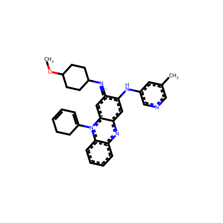 COC1CCC(/N=c2\cc3n(C4=CC=CCC4)c4ccccc4nc-3cc2Nc2cncc(C)c2)CC1